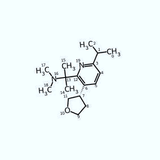 CC(C)c1ccc([C@@H]2CCOC2)c(C(C)(C)N(C)C)n1